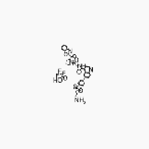 NCCCS(=O)(=O)c1ccc(-c2ccc3nccc(C(=O)NCC(=O)N4CCC[C@H]4C(=O)c4nc5ccccc5o4)c3c2)cc1.O=C(O)C(F)(F)F